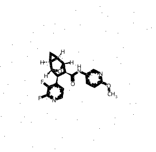 COc1ccc(NC(=O)[C@@H]2[C@@H]3O[C@@H]([C@H]4C[C@H]43)[C@@H]2c2ccnc(F)c2F)cn1